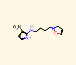 O=[N+]([O-])c1cc[nH]c1NCCCCN1CC=CO1